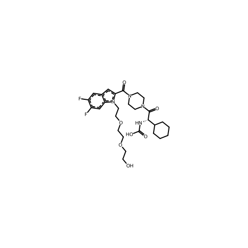 O=C(O)N[C@H](C(=O)N1CCN(C(=O)c2cc3cc(F)c(F)cc3n2CCOCCOCCO)CC1)C1CCCCC1